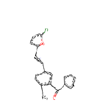 O=C(c1ccccc1)c1cc(/C=C/c2ccc(Cl)o2)ccc1[N+](=O)[O-]